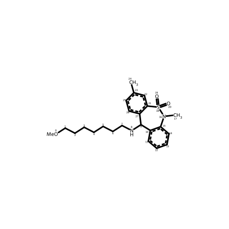 COCCCCCCCNC1c2ccccc2N(C)S(=O)(=O)c2cc(C)ccc21